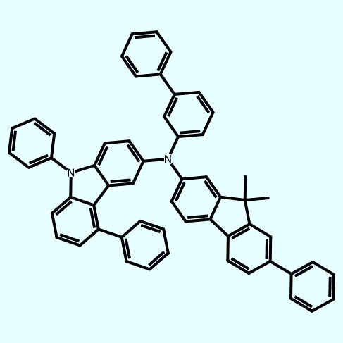 CC1(C)c2cc(-c3ccccc3)ccc2-c2ccc(N(c3cccc(-c4ccccc4)c3)c3ccc4c(c3)c3c(-c5ccccc5)cccc3n4-c3ccccc3)cc21